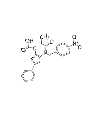 CCC(=O)N(Cc1ccc([N+](=O)[O-])cc1)c1cc(-c2ccccc2)sc1OC(=O)O